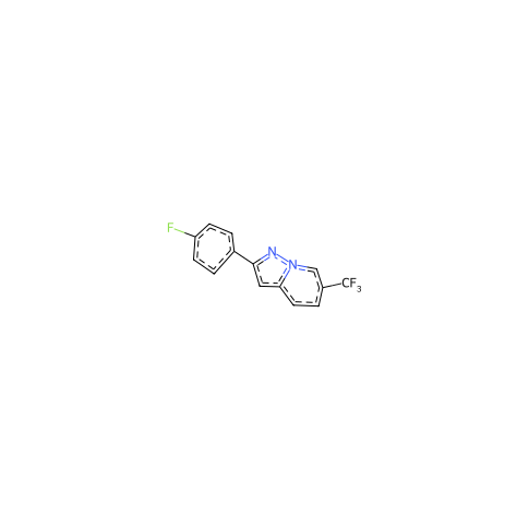 Fc1ccc(-c2cc3ccc(C(F)(F)F)cn3n2)cc1